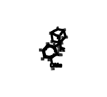 CCN1CC2CC(C1)N2Cc1cccc(OC)n1